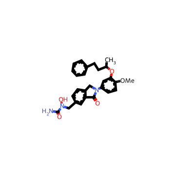 COc1ccc(N2Cc3ccc(CN(O)C(N)=O)cc3C2=O)cc1OC(C)CCc1ccccc1